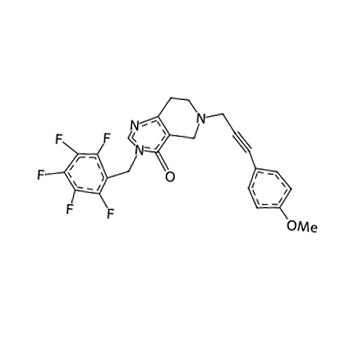 COc1ccc(C#CCN2CCc3ncn(Cc4c(F)c(F)c(F)c(F)c4F)c(=O)c3C2)cc1